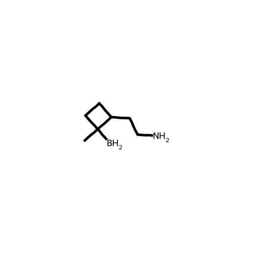 BC1(C)CCC1CCN